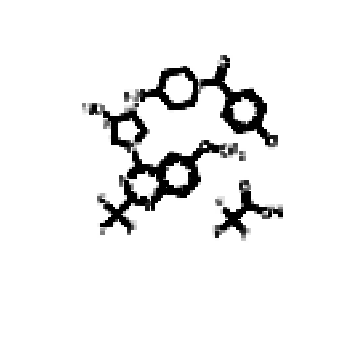 COc1ccc2nc(C(F)(F)F)nc(N3C[C@@H](O)[C@H](NC4CCN(C(=O)c5ccc(Cl)cc5)CC4)C3)c2c1.O=C(O)C(F)(F)F